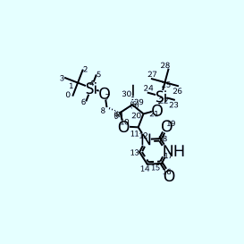 CC(C)(C)[Si](C)(C)OC[C@H]1OC(n2ccc(=O)[nH]c2=O)C(O[Si](C)(C)C(C)(C)C)[C@H]1I